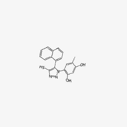 Cc1cc(-n2nnc(S)c2-c2cccc3ccccc23)c(O)cc1O